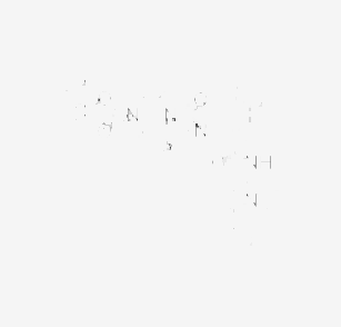 CN1C2CCCC1CC(NC(=O)c1cccc3oc(N4CCN(C(=O)OC(C)(C)C)C[C@@H]4C(C)(C)C)nc13)C2